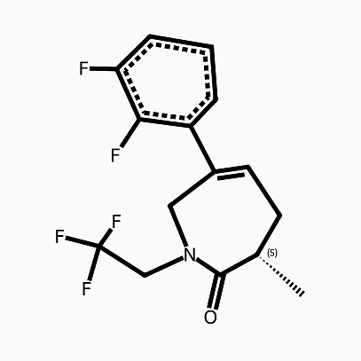 C[C@H]1CC=C(c2cccc(F)c2F)CN(CC(F)(F)F)C1=O